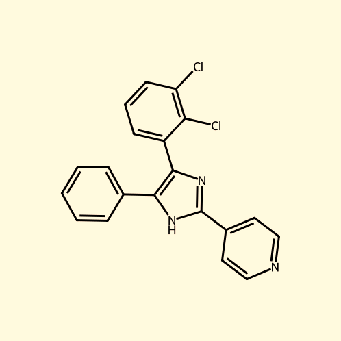 Clc1cccc(-c2nc(-c3ccncc3)[nH]c2-c2ccccc2)c1Cl